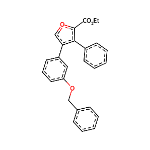 CCOC(=O)c1occ(-c2cccc(OCc3ccccc3)c2)c1-c1ccccc1